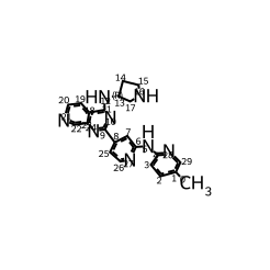 Cc1ccc(Nc2cc(-c3nc(N[C@@H]4CCNC4)c4ccncc4n3)ccn2)nc1